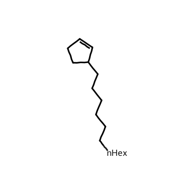 CCCCCCCCCCCCC1C=CCC1